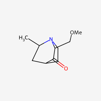 COCC1C(=O)C2CCN1C(C)C2